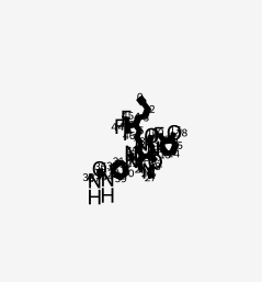 C#C/C=C\C=C(/CCn1c(=O)n(-c2cccc(OC)c2F)c(=O)c2c(CN(C)C)n(-c3ccc(NC(=O)NC)cc3)nc21)C(F)(F)F